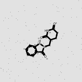 O=C1CCC(CN2Bc3ccccc3C2=O)C(=O)N1